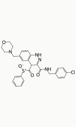 O=C(NCc1ccc(Cl)cc1)C1=NNc2ccc(CN3CCOCC3)cc2C1C(=O)[S+]([O-])c1ccccc1